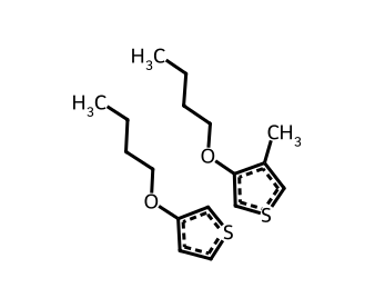 CCCCOc1ccsc1.CCCCOc1cscc1C